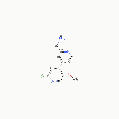 COc1cnc(Cl)cc1-c1ccnc(CN)c1